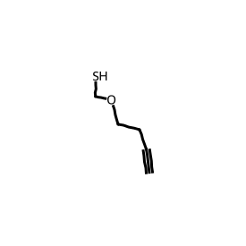 C#CCCOCS